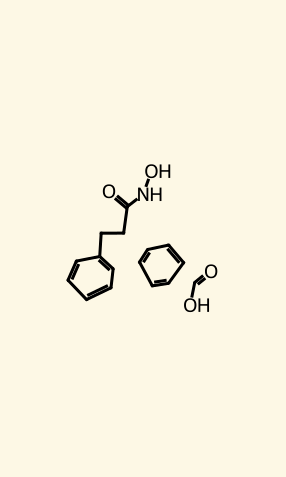 O=C(CCc1ccccc1)NO.O=CO.c1ccccc1